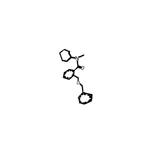 CN(C(=O)c1ccccc1COCc1ccccc1)C1CCCCC1